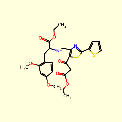 CCOC(=O)CC(=O)c1sc(-c2cccs2)nc1CNC(Cc1ccc(OC)cc1OC)C(=O)OCC